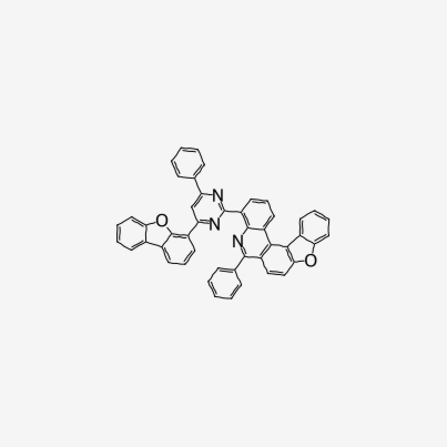 c1ccc(-c2cc(-c3cccc4c3oc3ccccc34)nc(-c3cccc4c3nc(-c3ccccc3)c3ccc5oc6ccccc6c5c34)n2)cc1